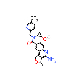 CCO[C@@H]1C[C@H]1N(Cc1ccc(C(F)(F)F)cn1)C(=O)c1ccc2nc(N)c3c(c2c1)CO[C@@H]3C